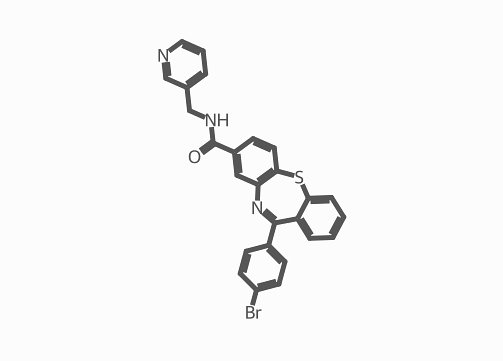 O=C(NCc1cccnc1)c1ccc2c(c1)N=C(c1ccc(Br)cc1)c1ccccc1S2